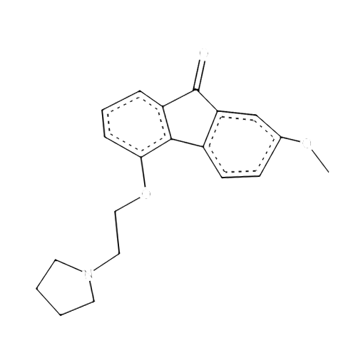 COc1ccc2c(c1)C(=O)c1cccc(OCCN3CCCC3)c1-2